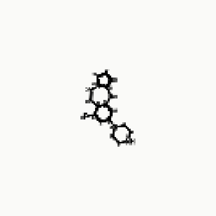 Fc1cc(N2CCNCC2)cc2c1C=Cn1cccc1S2